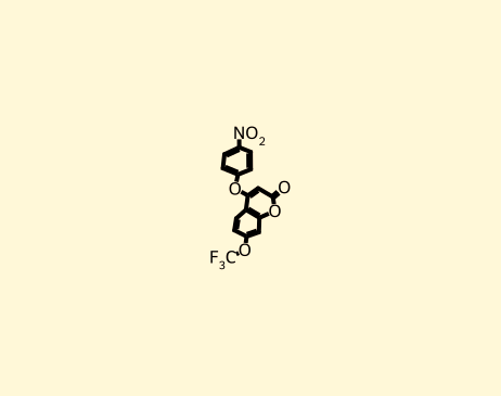 O=c1cc(Oc2ccc([N+](=O)[O-])cc2)c2ccc(OC(F)(F)F)cc2o1